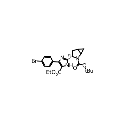 CCOC(=O)c1[nH]c([C@@H]2CC3CC3N2C(=O)OC(C)(C)C)nc1-c1ccc(Br)cc1